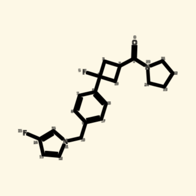 O=C(C1CC(F)(c2ccc(Cn3ccc(F)c3)cc2)C1)N1CCCC1